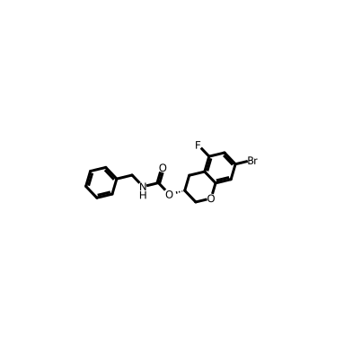 O=C(NCc1ccccc1)O[C@H]1COc2cc(Br)cc(F)c2C1